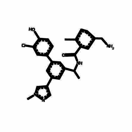 Cc1ccc(CN)cc1C(=O)NC(C)c1cc(-c2ccc(O)c(Cl)c2)cc(-c2cnn(C)c2)c1